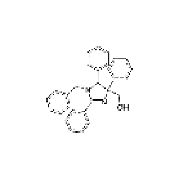 OCC1(c2ccccc2)N=C(c2ccccc2)N(Cc2ccccc2)C1c1ccccc1